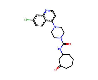 O=C1CCCCC(NC(=O)N2CCN(c3ccnc4cc(Cl)ccc34)CC2)C1